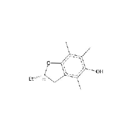 CC[C@H]1Cc2c(C)c(O)c(C)c(C)c2O1